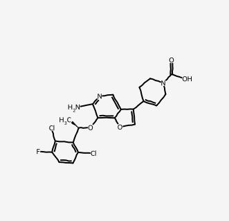 C[C@@H](Oc1c(N)ncc2c(C3=CCN(C(=O)O)CC3)coc12)c1c(Cl)ccc(F)c1Cl